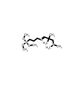 CO[Si](CCCN=CC(C)(C)CN(C)C)(OC)OC